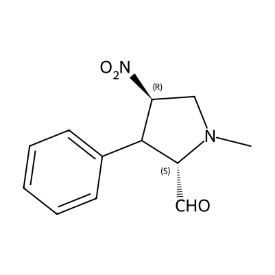 CN1C[C@H]([N+](=O)[O-])C(c2ccccc2)[C@H]1C=O